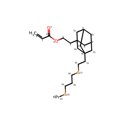 C=CC(=O)OCCC12CC3CC(C1)CC(CCSCCCSCCC)(C3)C2